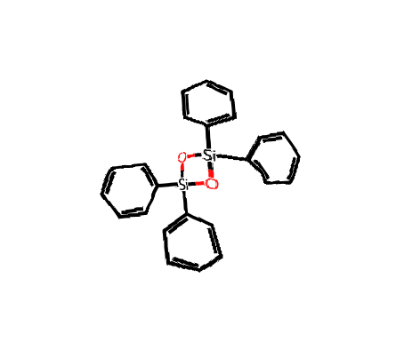 c1ccc([Si]2(c3ccccc3)O[Si](c3ccccc3)(c3ccccc3)O2)cc1